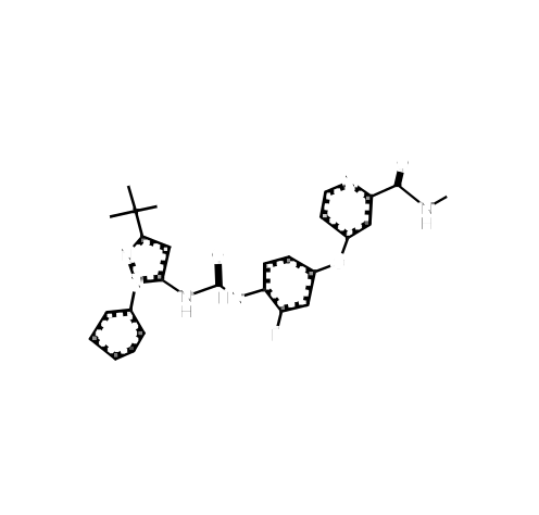 CNC(=O)c1cc(Oc2ccc(NC(=O)Nc3cc(C(C)(C)C)nn3-c3ccccc3)c(F)c2)ccn1